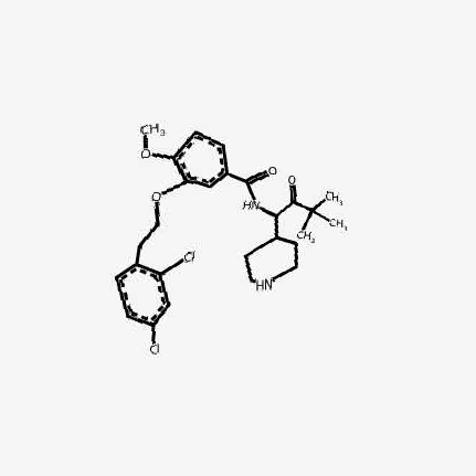 COc1ccc(C(=O)NC(C(=O)C(C)(C)C)C2CCNCC2)cc1OCCc1ccc(Cl)cc1Cl